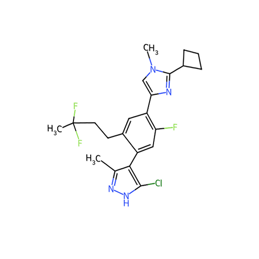 Cc1n[nH]c(Cl)c1-c1cc(F)c(-c2cn(C)c(C3CCC3)n2)cc1CCC(C)(F)F